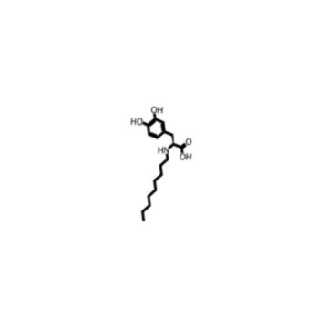 CCCCCCCCCN[C@@H](Cc1ccc(O)c(O)c1)C(=O)O